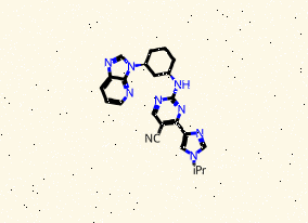 CC(C)n1cnc(-c2nc(N[C@@H]3CCC[C@H](n4cnc5cccnc54)C3)ncc2C#N)c1